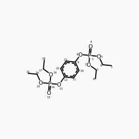 CCOP(=O)(OCC)Oc1ccc(OP(=O)(OCC)OCC)cc1